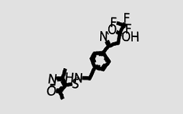 Cc1noc(C)c1SNCc1ccc(C2=NOC(O)(C(F)(F)F)C2)cc1